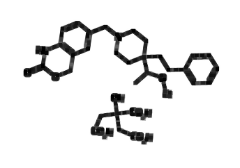 CCOC(C)C1(CCc2ccccc2)CCN(Cc2ccc3c(c2)COC(=O)N3)CC1.O=C(O)CC(O)(CC(=O)O)C(=O)O